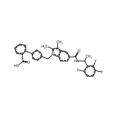 Cc1c(C)n(Cc2ccc(-c3ccccc3C(=O)O)cc2)c2ccc(C(=O)NC(C)c3c(F)ccc(F)c3F)cc12